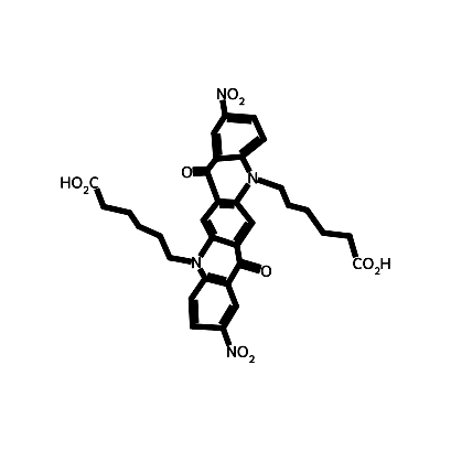 O=C(O)CCCCCn1c2ccc([N+](=O)[O-])cc2c(=O)c2cc3c(cc21)c(=O)c1cc([N+](=O)[O-])ccc1n3CCCCCC(=O)O